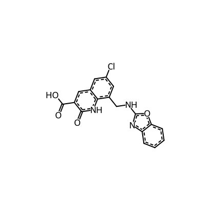 O=C(O)c1cc2cc(Cl)cc(CNc3nc4ccccc4o3)c2[nH]c1=O